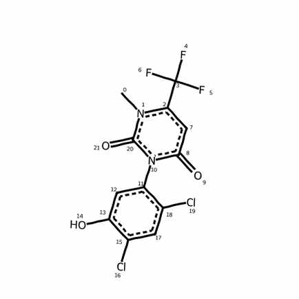 Cn1c(C(F)(F)F)cc(=O)n(-c2cc(O)c(Cl)cc2Cl)c1=O